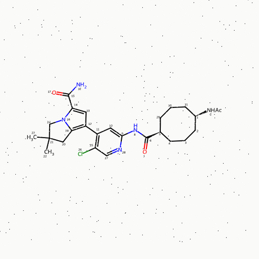 CC(=O)N[C@H]1CCC[C@@H](C(=O)Nc2cc(-c3cc(C(N)=O)n4c3CC(C)(C)C4)c(Cl)cn2)CCC1